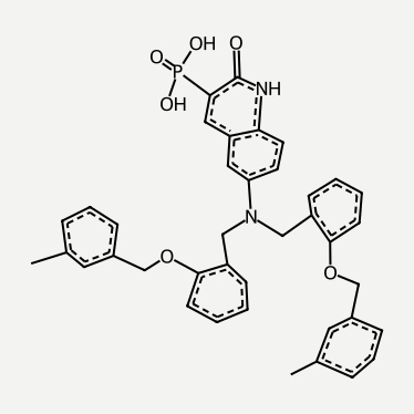 Cc1cccc(COc2ccccc2CN(Cc2ccccc2OCc2cccc(C)c2)c2ccc3[nH]c(=O)c(P(=O)(O)O)cc3c2)c1